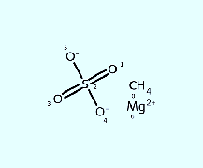 C.O=S(=O)([O-])[O-].[Mg+2]